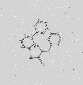 NC(Cc1ccccc1)C(=O)O.c1ccc(-c2ccccc2)cc1